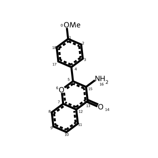 COc1ccc(-c2oc3ccccc3c(=O)c2N)cc1